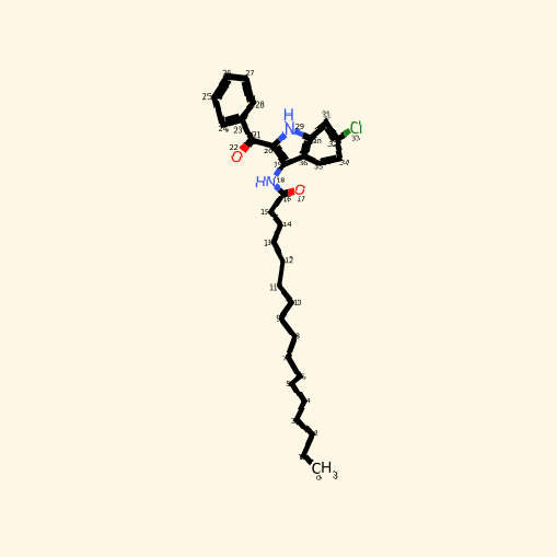 CCCCCCCCCCCCCCCCC(=O)Nc1c(C(=O)c2ccccc2)[nH]c2cc(Cl)ccc12